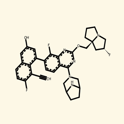 C#Cc1c(F)ccc2cc(O)cc(-c3ccc4c(N5CC6CCC(C5)N6)nc(OC[C@@]56CCCN5C[C@H](F)C6)nc4c3F)c12